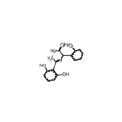 C/C(=N\C(C(=O)O)c1ccccc1O)c1c(O)cccc1O